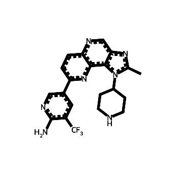 Cc1nc2cnc3ccc(-c4cnc(N)c(C(F)(F)F)c4)nc3c2n1C1CCNCC1